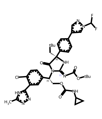 Cc1nnc(-c2cc([C@@H](COC(=O)NC3CC3)N3C(=O)[C@@](CC(C)(C)C)(c4ccc(-c5cnn(C(F)F)c5)cc4)N/C3=N\C(=O)OC(C)(C)C)ccc2Cl)[nH]1